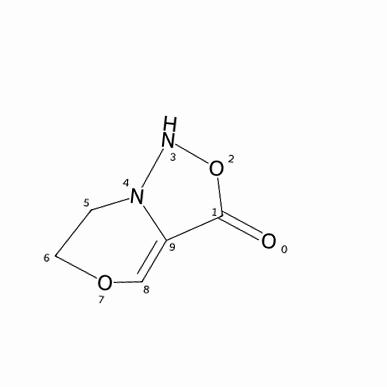 O=C1ONN2CCOC=C12